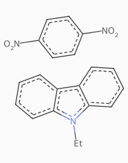 CCn1c2ccccc2c2ccccc21.O=[N+]([O-])c1ccc([N+](=O)[O-])cc1